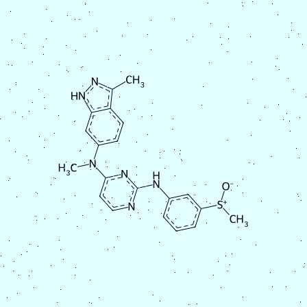 Cc1n[nH]c2cc(N(C)c3ccnc(Nc4cccc([S+](C)[O-])c4)n3)ccc12